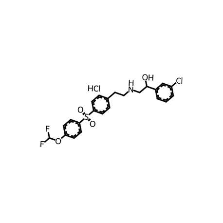 Cl.O=S(=O)(c1ccc(CCNCC(O)c2cccc(Cl)c2)cc1)c1ccc(OC(F)F)cc1